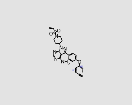 C#C/C=C\C(=C/C)Oc1ccc(-c2nn(C3CCN(S(=O)(=O)C=C)CC3)c3ncnc(N)c23)cc1